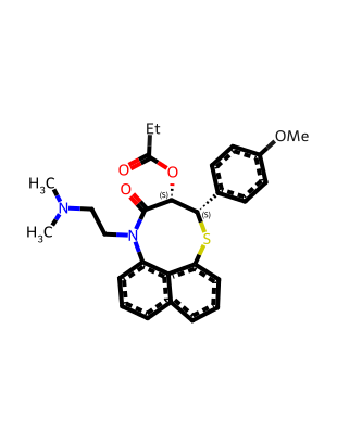 CCC(=O)O[C@H]1C(=O)N(CCN(C)C)c2cccc3cccc(c23)S[C@H]1c1ccc(OC)cc1